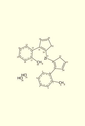 Cc1ccccc1C1=[C]([Zr][C]2=C(c3ccccc3C)C=CC2)CC=C1.Cl.Cl